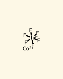 [Co+2].[F][Ti-2]([F])([F])([F])([F])[F]